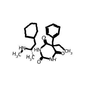 CCC1(c2ccccc2)C(=O)NC(=O)NC1=O.CN[C@@H](C)CC1CCCCC1